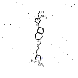 C=N/C=C\C(=C/C)CCSC[C@@H]1CCc2cc([C@H]3CC[C@](N)(CO)C3)ccc2C1